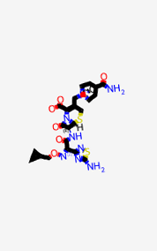 NC(=O)C12CC[N+](CC3=C(C(=O)[O-])N4C(=O)[C@@H](NC(=O)/C(=N\OCC5CC5)c5nsc(N)n5)[C@@H]4SC3)(CC1)CC2